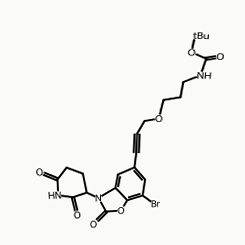 CC(C)(C)OC(=O)NCCCOCC#Cc1cc(Br)c2oc(=O)n(C3CCC(=O)NC3=O)c2c1